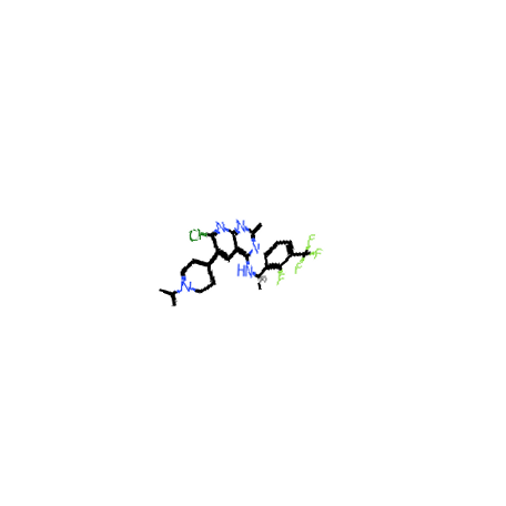 Cc1nc(N[C@H](C)c2cccc(C(F)(F)F)c2F)c2cc(C3CCN(C(C)C)CC3)c(Cl)nc2n1